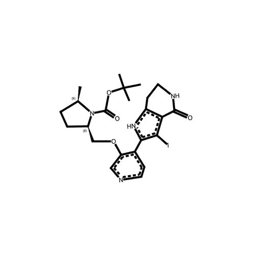 C[C@@H]1CC[C@H](COc2cnccc2-c2[nH]c3c(c2I)C(=O)NCC3)N1C(=O)OC(C)(C)C